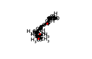 CCC(CC)N1c2nc(Nc3ccc(C(=O)NC4CCN(CCOCCN5CC[C@H]5C(=O)Nc5cccc6c5CN(C5CCC(=O)NC5=O)C6=O)CC4)cc3OC)ncc2N(C)C(=O)[C@H]1CC